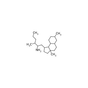 CCCC(C)C(N)CC1CCC2(C)CCC3CC(C)CCC3C12